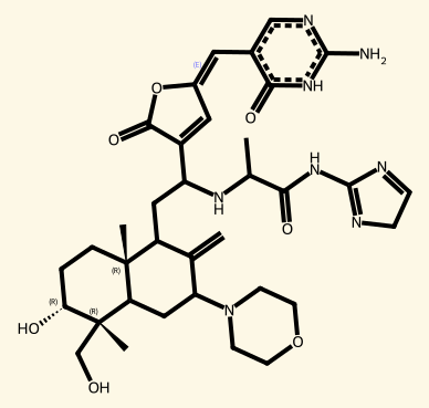 C=C1C(N2CCOCC2)CC2[C@](C)(CC[C@@H](O)[C@@]2(C)CO)C1CC(NC(C)C(=O)NC1=NCC=N1)C1=C/C(=C\c2cnc(N)[nH]c2=O)OC1=O